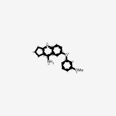 COc1cccc(Oc2ccc3nc4c(c(N)c3c2)CCC4)c1